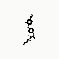 CCCCOC(=O)C(C)Oc1ccc(Oc2ccc(C#N)cc2F)cc1